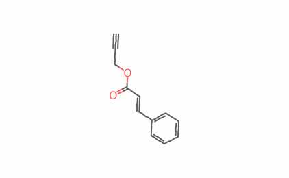 C#CCOC(=O)C=Cc1ccccc1